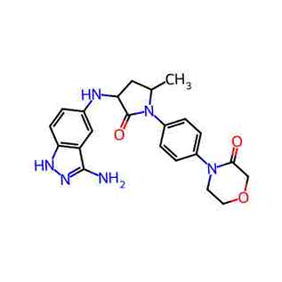 CC1CC(Nc2ccc3[nH]nc(N)c3c2)C(=O)N1c1ccc(N2CCOCC2=O)cc1